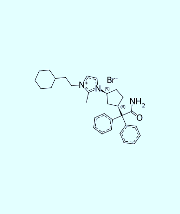 Cc1n([C@H]2CC[C@@H](C(C(N)=O)(c3ccccc3)c3ccccc3)C2)cc[n+]1CCC1CCCCC1.[Br-]